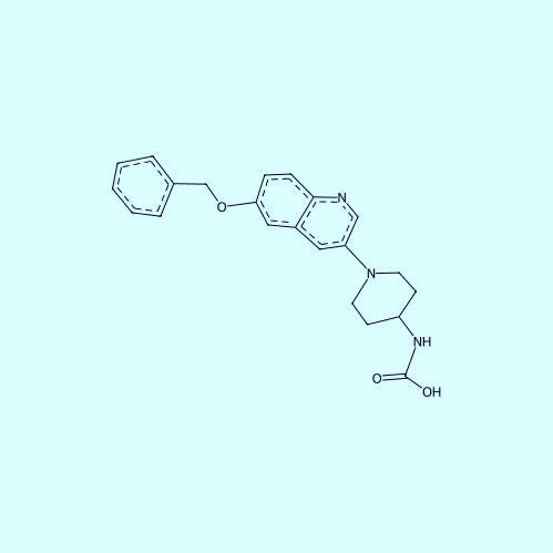 O=C(O)NC1CCN(c2cnc3ccc(OCc4ccccc4)cc3c2)CC1